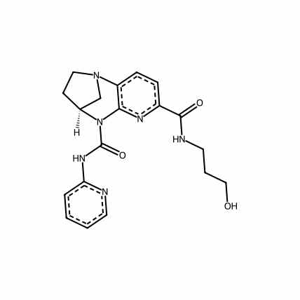 O=C(NCCCO)c1ccc2c(n1)N(C(=O)Nc1ccccn1)[C@H]1CCN2C1